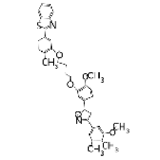 COc1ccc(C2CC(c3cc(C)c(C)c(OC)c3)=NO2)cc1OCCCCOc1cc(-c2nc3ccccc3s2)ccc1C